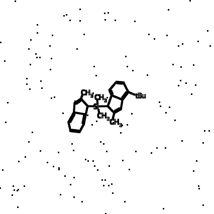 CC1=Cc2ccccc2C1[Si](C)(C)C1C(C)=Cc2c1cccc2C(C)(C)C